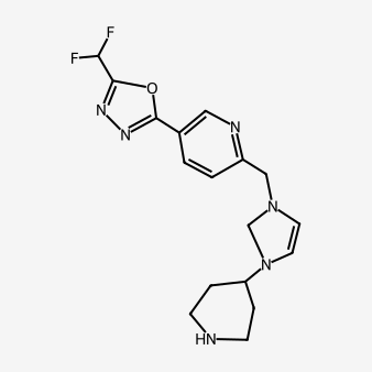 FC(F)c1nnc(-c2ccc(CN3C=CN(C4CCNCC4)C3)nc2)o1